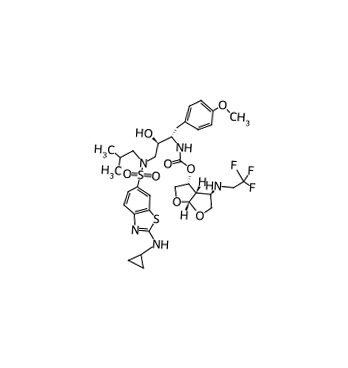 COc1ccc(C[C@H](NC(=O)O[C@H]2CO[C@H]3OC[C@H](NCC(F)(F)F)[C@H]32)[C@H](O)CN(CC(C)C)S(=O)(=O)c2ccc3nc(NC4CC4)sc3c2)cc1